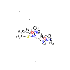 CCCCCC[N+](CCCCCCN1CCCC[C@@H]1C(=O)Nc1c(C)cccc1C)(CCSCCC)CC(=O)Nc1c(C)cccc1C